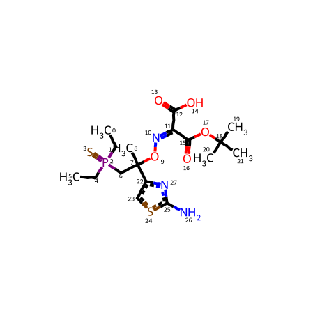 CCP(=S)(CC)CC(C)(ON=C(C(=O)O)C(=O)OC(C)(C)C)c1csc(N)n1